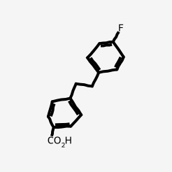 O=C(O)c1ccc(CCc2ccc(F)cc2)cc1